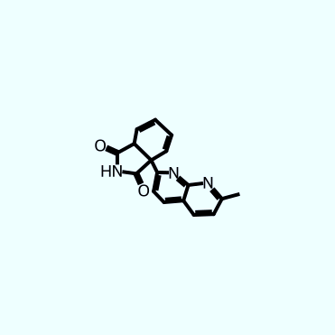 Cc1ccc2ccc(C34C=CC=CC3C(=O)NC4=O)nc2n1